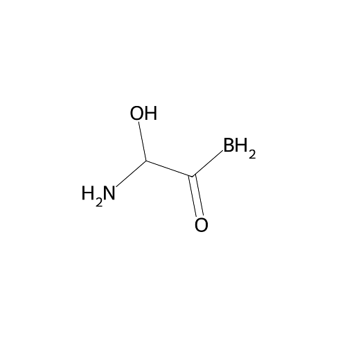 BC(=O)C(N)O